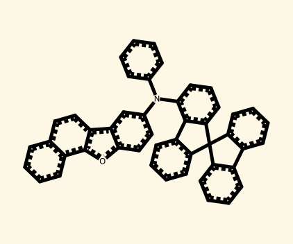 c1ccc(N(c2ccc3oc4c5ccccc5ccc4c3c2)c2cccc3c2-c2ccccc2C32c3ccccc3-c3ccccc32)cc1